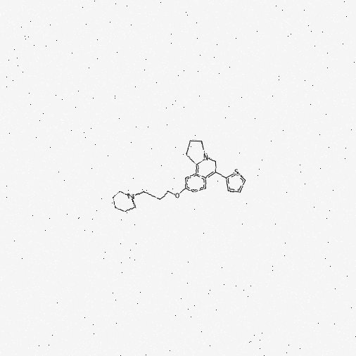 c1csc(C2=c3ccc(OCCCN4CCCCC4)cc3=C3CCCN3C2)c1